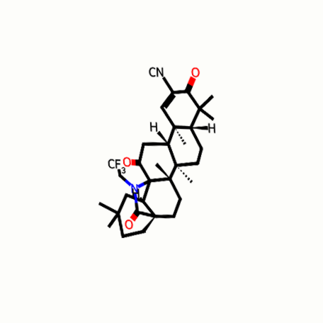 [C-]#[N+]C1=C[C@]2(C)[C@H]3CC(=O)C45[C@@H]6CC(C)(C)CC[C@@]6(CC[C@@]4(C)[C@]3(C)CC[C@H]2C(C)(C)C1=O)C(=O)N5CC(F)(F)F